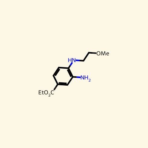 CCOC(=O)c1ccc(NCCOC)c(N)c1